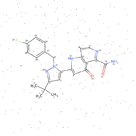 CC(C)(C)c1cc(-c2cc(=O)c3c(C(N)=O)nccc3[nH]2)n(Cc2ccc(F)cc2)n1